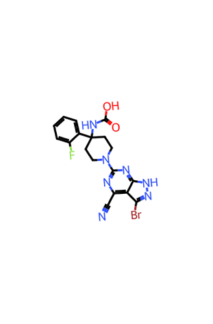 N#Cc1nc(N2CCC(NC(=O)O)(c3ccccc3F)CC2)nc2[nH]nc(Br)c12